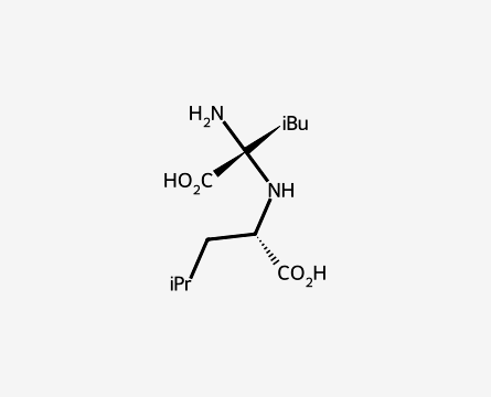 CC[C@H](C)[C@@](N)(N[C@@H](CC(C)C)C(=O)O)C(=O)O